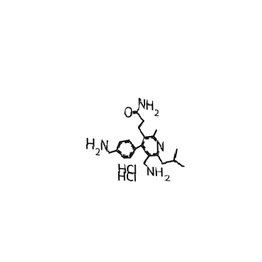 Cc1nc(CC(C)C)c(CN)c(-c2ccc(CN)cc2)c1CCC(N)=O.Cl.Cl